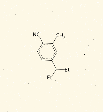 CCC(CC)c1ccc(C#N)c(C)c1